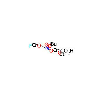 CCOC(Cc1ccc(OCCN(CCCCOCc2ccc(F)cc2)C(=O)OC(C)CC)cc1)C(=O)O